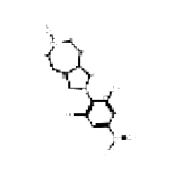 O=[N+]([O-])c1cc(F)c(N2CC3CC[S+]([O-])CCC3C2)c(F)c1